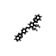 Cc1c(C=Cc2ccc(-c3nc4ccccc4o3)cc2)ccc(-c2nc3ccccc3o2)c1C